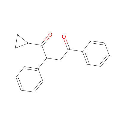 O=C(CC(C(=O)C1CC1)c1ccccc1)c1ccccc1